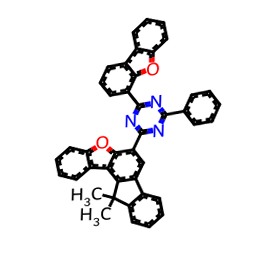 CC1(C)c2ccccc2-c2cc(-c3nc(-c4ccccc4)nc(-c4cccc5c4oc4ccccc45)n3)c3oc4ccccc4c3c21